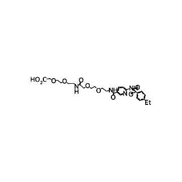 CCc1ccc(S(=O)(=O)Nc2ccc(C(=O)NCCOCCOCC(=O)NCCOCCOCC(=O)O)cn2)cc1